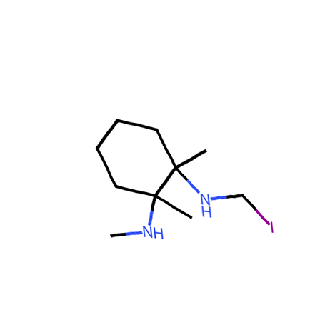 CNC1(C)CCCCC1(C)NCI